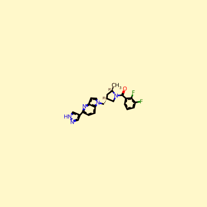 C[C@@H]1C[C@@H](Cn2ccc3nc(-c4cn[nH]c4)ccc32)CN1C(=O)c1cccc(F)c1F